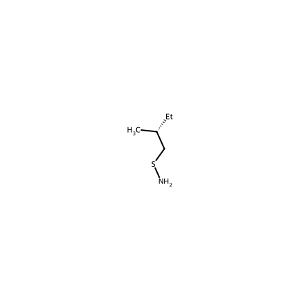 CC[C@@H](C)CSN